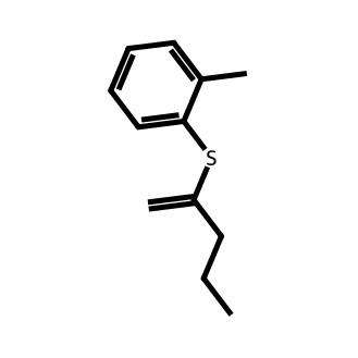 C=C(CCC)Sc1ccccc1C